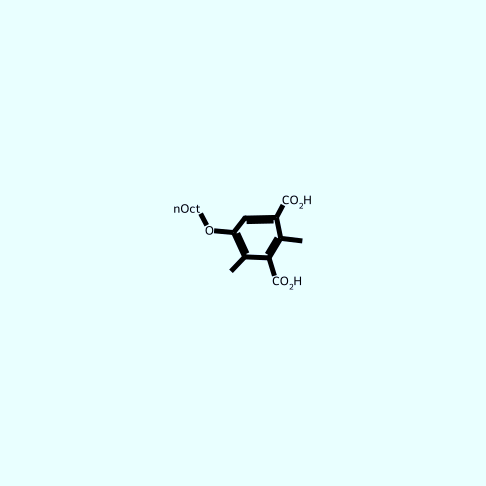 CCCCCCCCOc1cc(C(=O)O)c(C)c(C(=O)O)c1C